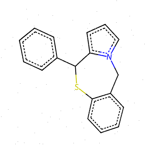 c1ccc(C2Sc3ccccc3Cn3cccc32)cc1